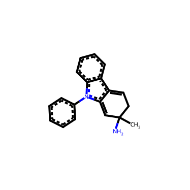 CC1(N)C=c2c(c3ccccc3n2-c2ccccc2)=CC1